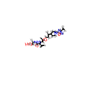 C=C(C)/C(=C\C=C(/C)OCC[C@@H](C)C1CCN(c2nc(C(C)C)no2)CC1)C(=O)N[C@H](C)CO